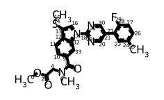 COC(=O)CN(C)C(=O)c1ccc2c(SC)cn(-c3ncc(-c4cc(C)ccc4F)cn3)c2c1